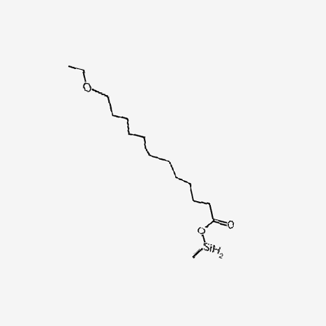 CCOCCCCCCCCCCCC(=O)O[SiH2]C